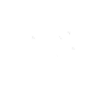 CC1CC(c2ccncc2)(c2nncn2C)C1